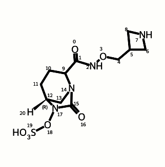 O=C(NOCC1CNC1)C1CC[C@@H]2CN1C(=O)N2OS(=O)(=O)O